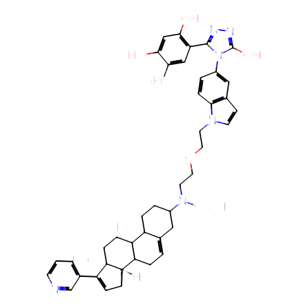 CC(C)c1cc(-c2nnc(O)n2-c2ccc3c(ccn3CCOCCN(C(=O)O)C3CC[C@@]4(C)C(=CCC5C4CC[C@]4(C)C(c6cccnc6)=CC[C@@H]54)C3)c2)c(O)cc1O